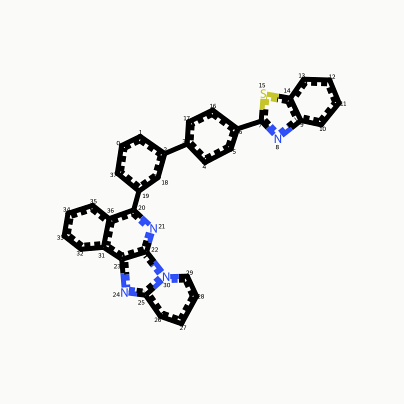 c1cc(-c2ccc(-c3nc4ccccc4s3)cc2)cc(-c2nc3c(nc4ccccn43)c3ccccc23)c1